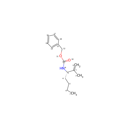 C=C(C)[C@H](CCCC)NC(=O)OCc1ccccc1